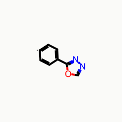 [c]1ccc(-c2nnco2)cc1